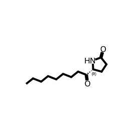 CCCCCCCCC(=O)[C@H]1CCC(=O)N1